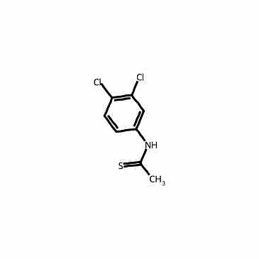 CC(=S)Nc1ccc(Cl)c(Cl)c1